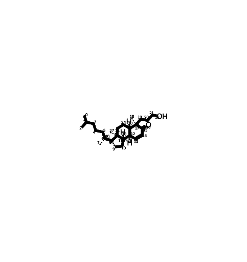 CC(C)CCC[C@@H](C)[C@H]1CC[C@H]2[C@@H]3C=CC(=O)[C@](C)(CCCO)[C@H]3CC[C@]12C